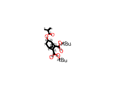 C=C(C)C(=O)OC1CC2CC1C(C(=O)OC(C)(C)C)C2C(=O)OC(C)(C)C